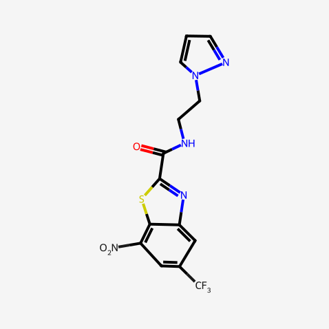 O=C(NCCn1cccn1)c1nc2cc(C(F)(F)F)cc([N+](=O)[O-])c2s1